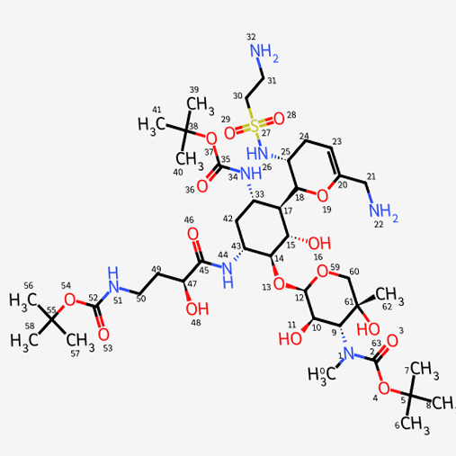 CN(C(=O)OC(C)(C)C)[C@@H]1[C@@H](O)[C@@H](O[C@@H]2[C@@H](O)[C@H](C3OC(CN)=CC[C@H]3NS(=O)(=O)CCN)[C@@H](NC(=O)OC(C)(C)C)C[C@H]2NC(=O)[C@@H](O)CCNC(=O)OC(C)(C)C)OC[C@]1(C)O